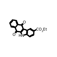 CCOC(=O)c1ccc2[nH]c3c(c2c1)C(=O)c1ccccc1C3=O